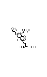 C=CCSSCC(NC(=O)CCC(N)C(=O)O)C(=O)NCC(=O)O